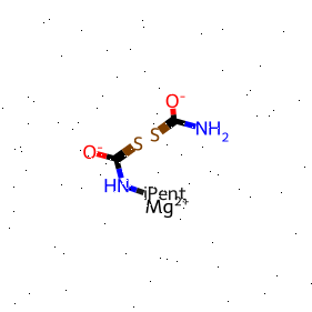 CCCC(C)NC([O-])=S.NC([O-])=S.[Mg+2]